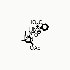 CC(=O)OCc1cc(C)nc(NC(=O)NS(=O)(=O)c2ccccc2C(=O)O)n1